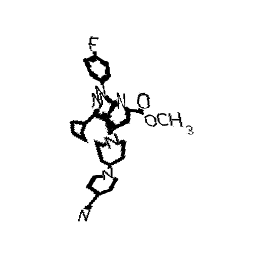 COC(=O)c1cc(N2CCC(N3CCC(C#N)CC3)CC2)c2c(C3CCC3)nn(-c3ccc(F)cc3)c2n1